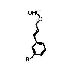 O=[C]OC/C=C/c1cccc(Br)c1